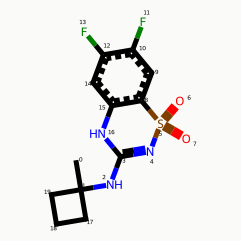 CC1(NC2=NS(=O)(=O)c3cc(F)c(F)cc3N2)CCC1